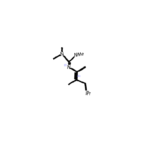 CN/C(=N\C(C)=C(/C)CC(C)C)N(C)C